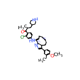 CCc1cc(C2=CN=C3/C(Nc4ccc(C(=O)C(C)CC5CCNCC5)c(Cl)c4)=C/C/C=C\CCC23)ccc1OC